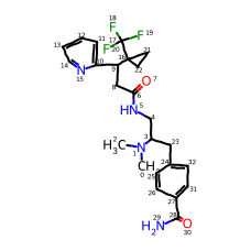 CN(C)C(CNC(=O)CC(c1ccccn1)C1(C(F)(F)F)CC1)Cc1ccc(C(N)=O)cc1